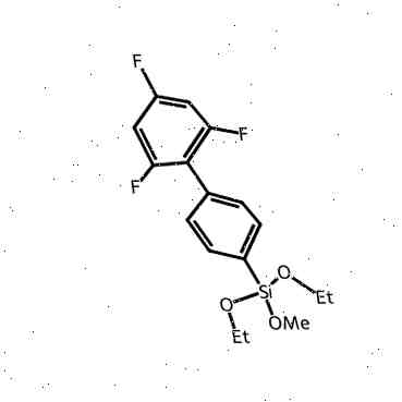 CCO[Si](OC)(OCC)c1ccc(-c2c(F)cc(F)cc2F)cc1